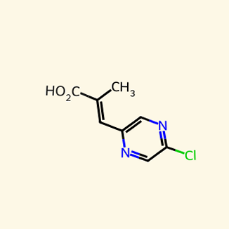 CC(=Cc1cnc(Cl)cn1)C(=O)O